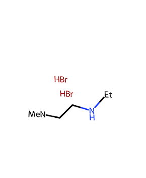 Br.Br.CCNCCNC